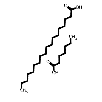 CCCCCCC(=O)O.CCCCCCCCCCCCCCCCCC(=O)O